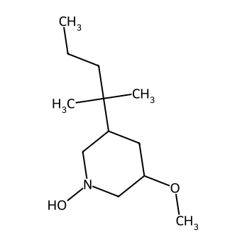 CCCC(C)(C)C1CC(OC)CN(O)C1